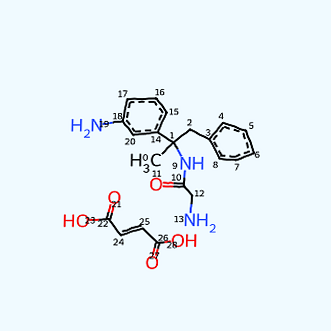 CC(Cc1ccccc1)(NC(=O)CN)c1cccc(N)c1.O=C(O)C=CC(=O)O